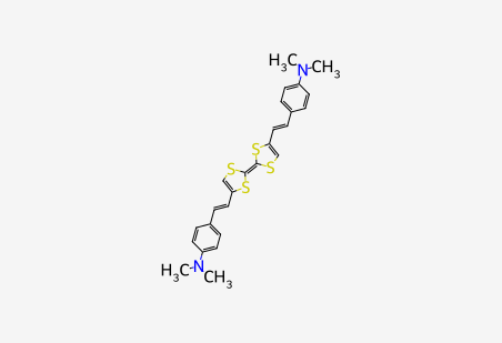 CN(C)c1ccc(/C=C/C2=CS/C(=C3/SC=C(/C=C/c4ccc(N(C)C)cc4)S3)S2)cc1